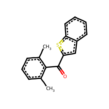 Cc1cccc(C)c1C(=O)c1cc2ccccc2s1